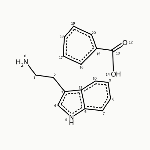 NCCc1c[nH]c2ccccc12.O=C(O)c1ccccc1